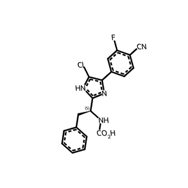 N#Cc1ccc(-c2nc([C@H](Cc3ccccc3)NC(=O)O)[nH]c2Cl)cc1F